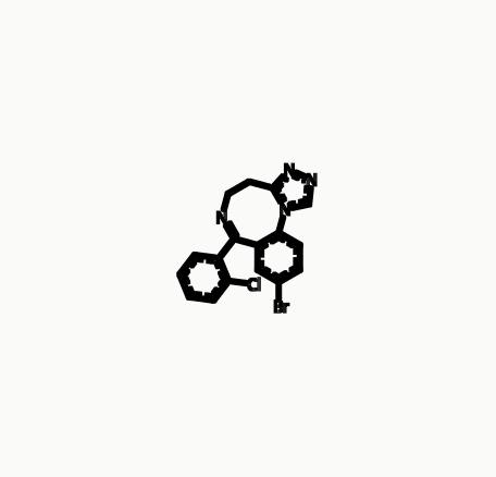 Clc1ccccc1/C1=N/CCc2nncn2-c2ccc(Br)cc21